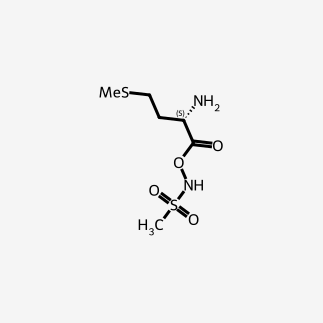 CSCC[C@H](N)C(=O)ONS(C)(=O)=O